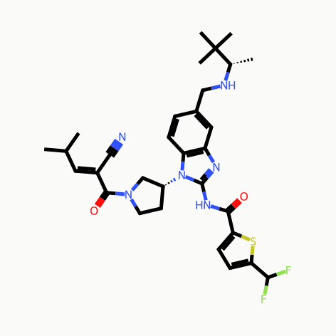 CC(C)C=C(C#N)C(=O)N1CC[C@@H](n2c(NC(=O)c3ccc(C(F)F)s3)nc3cc(CN[C@@H](C)C(C)(C)C)ccc32)C1